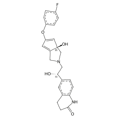 O=C1CCc2cc([C@H](O)CN3CC4=CC(Oc5ccc(F)cc5)=C[C@]4(O)C3)ccc2N1